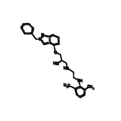 Cc1cccc(C)c1NCCNCC(O)COc1cccc2nn(Cc3ccccc3)cc12